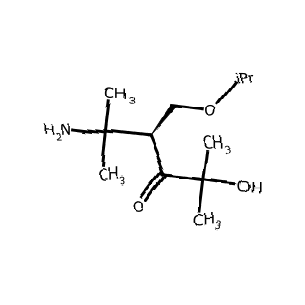 CC(C)OC[C@@H](C(=O)C(C)(C)O)C(C)(C)N